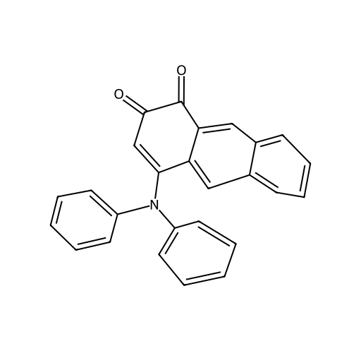 O=C1C=C(N(c2ccccc2)c2ccccc2)c2cc3ccccc3cc2C1=O